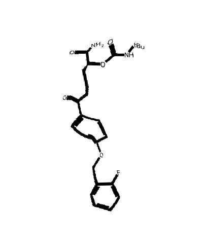 CC(C)(C)NC(=O)O[C@@H](CCC(=O)c1ccc(OCc2ccccc2F)cc1)C(N)=O